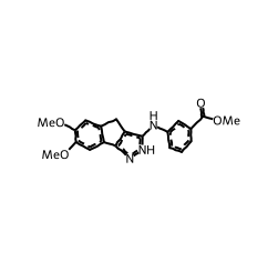 COC(=O)c1cccc(Nc2[nH]nc3c2Cc2cc(OC)c(OC)cc2-3)c1